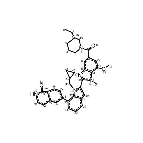 CC[C@@H]1CCCN(C(=O)c2cc(OC)c3c(c2)nc(-c2cc4cccc(-c5ccc6c(=O)[nH]ccc6c5)c4n2CC2CC2)n3C)C1